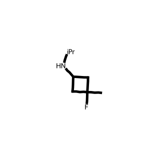 CC(C)NC1CC(C)(F)C1